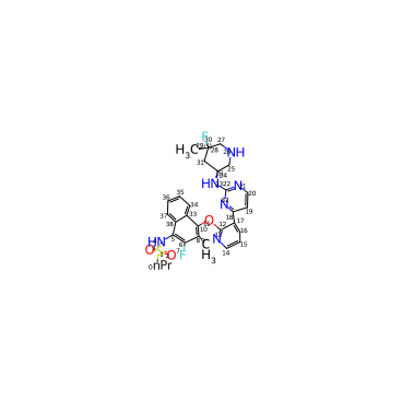 CCCS(=O)(=O)Nc1c(F)c(C)c(Oc2ncccc2-c2ccnc(N[C@@H]3CNC[C@@](C)(F)C3)n2)c2ccccc12